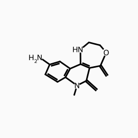 C=C1OCCNC2=C1C(=C)N(C)c1ccc(N)cc12